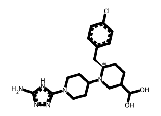 Nc1nnc(N2CCC(N3CC(C(O)O)CC[C@@H]3Cc3ccc(Cl)cc3)CC2)[nH]1